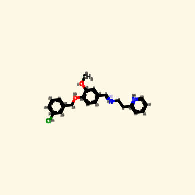 COc1cc(/C=N/CCc2ccccn2)ccc1OCc1cccc(Cl)c1